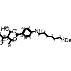 CCCCCCCCCCCCCCCCNc1ccc(C(=O)OC(C)C(CO)C(C)O)cc1